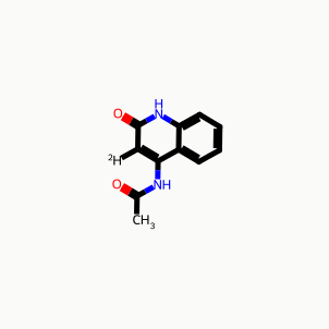 [2H]c1c(NC(C)=O)c2ccccc2[nH]c1=O